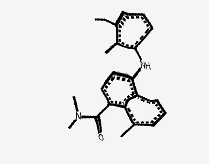 Cc1cccc(Nc2ccc(C(=O)N(C)C)c3c(C)cccc23)c1C